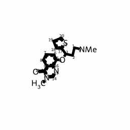 CNCCC(Oc1cccc2c(=O)n(C)cnc12)c1cccs1